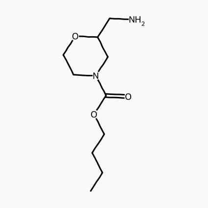 CCCCOC(=O)N1CCOC(CN)C1